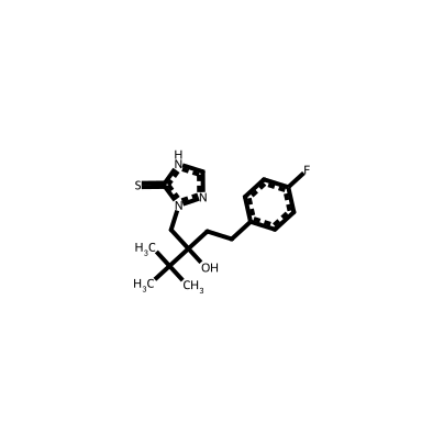 CC(C)(C)C(O)(CCc1ccc(F)cc1)Cn1nc[nH]c1=S